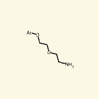 CC(=O)OCCOCCN